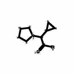 CCC(=O)C(C1CC1)N1CCCC1